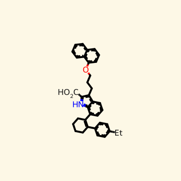 CCc1ccc(C2=C(c3cccc4c(CCCOc5cccc6ccccc56)c(C(=O)O)[nH]c34)CCCC2)cc1